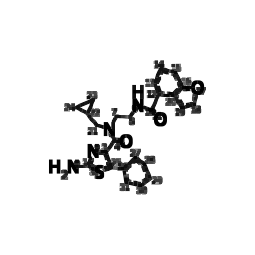 Nc1nc(C(=O)N(CCNC(=O)c2cccc3occc23)CC2CC2)c(-c2ccccc2)s1